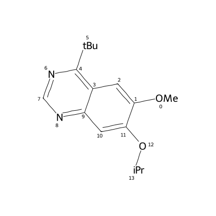 COc1cc2c(C(C)(C)C)ncnc2cc1OC(C)C